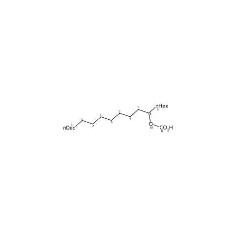 CCCCCCCCCCCCCCCCCC(CCCCCC)OC(=O)O